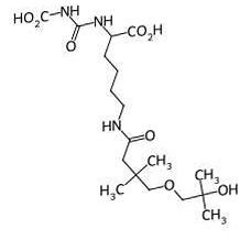 CC(C)(O)COCC(C)(C)CC(=O)NCCCCC(NC(=O)NC(=O)O)C(=O)O